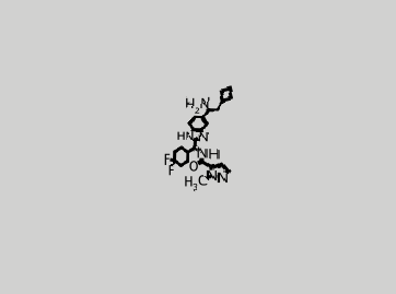 Cn1nccc1C(=O)N[C@H](c1nc2cc(C(N)CC3CCC3)ccc2[nH]1)C1CCC(F)(F)CC1